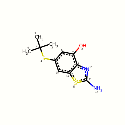 CC(C)(C)Sc1cc(O)c2nc(N)sc2c1